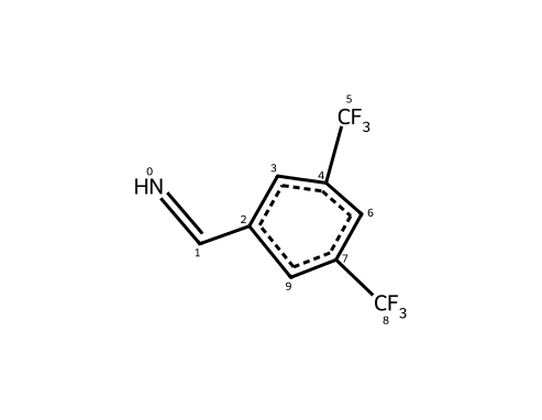 N=Cc1cc(C(F)(F)F)cc(C(F)(F)F)c1